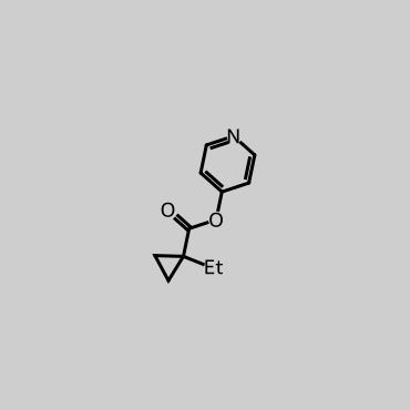 CCC1(C(=O)Oc2ccncc2)CC1